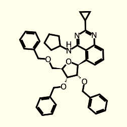 c1ccc(COC[C@H]2O[C@@H](c3cccc4nc(C5CC5)nc(NC5CCCC5)c34)[C@H](OCc3ccccc3)[C@@H]2OCc2ccccc2)cc1